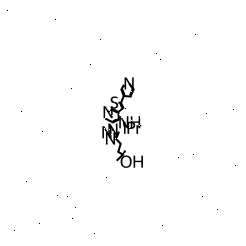 CC(C)Nc1c(-n2cc(CCC(C)(C)O)nn2)cnc2sc(-c3ccncc3)cc12